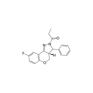 CCC(=O)N1N=C2c3cc(F)ccc3OC[C@H]2C1c1ccccc1